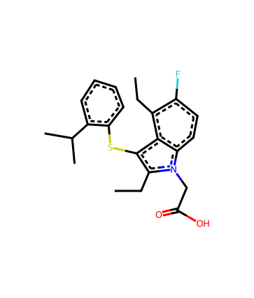 CCc1c(F)ccc2c1c(Sc1ccccc1C(C)C)c(CC)n2CC(=O)O